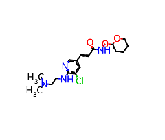 CN(C)CCNc1ncc(/C=C/C(=O)NOC2CCCCO2)cc1Cl